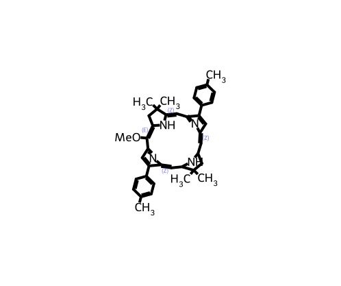 CO/C1=C2\CC(C)(C)/C(=C/C3=NC(=C\C4CC(C)(C)C(/C=C5N=C1C=C\5c1ccc(C)cc1)N4)/C=C3c1ccc(C)cc1)N2